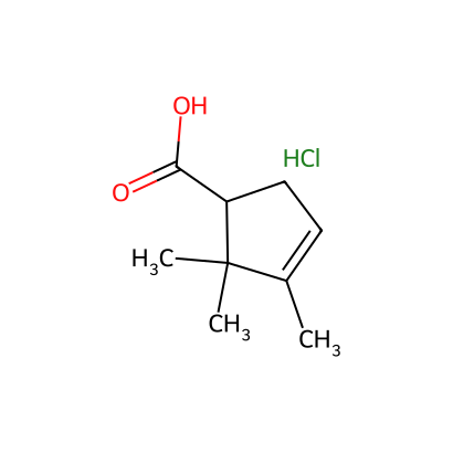 CC1=CCC(C(=O)O)C1(C)C.Cl